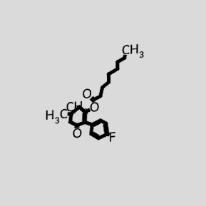 CCCCCCCCC(=O)OC1=C(c2ccc(F)cc2)C(=O)CC(C)(C)C1